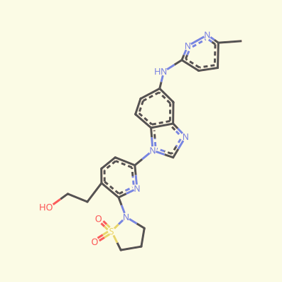 Cc1ccc(Nc2ccc3c(c2)ncn3-c2ccc(CCO)c(N3CCCS3(=O)=O)n2)nn1